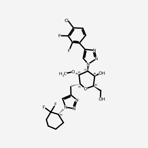 CO[C@@H]1[C@@H](n2cc(-c3ccc(Cl)c(F)c3F)nn2)[C@@H](O)[C@@H](CO)O[C@@H]1Cc1cn([C@@H]2CCCCC2(F)F)nn1